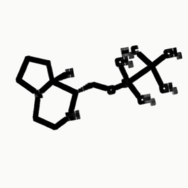 CC(C)(C)[Si](C)(C)OC[C@@H]1NCCN2CCC[C@H]12